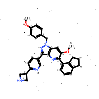 COc1ccc(Cn2nc(-c3ccc(C4CNC4)nc3)c3nc(-c4cccc5c4CCC5)c(OC)cc32)cc1